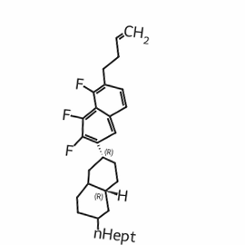 C=CCCc1ccc2cc([C@@H]3CC[C@@H]4CC(CCCCCCC)CCC4C3)c(F)c(F)c2c1F